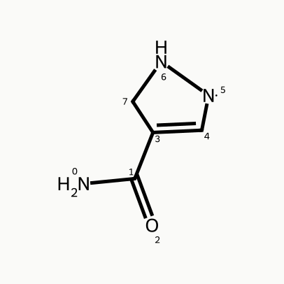 NC(=O)C1=C[N]NC1